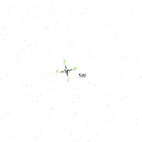 [F][Sn]([F])([F])[F].[Sn]